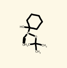 CC(C)(C)ON(C=O)C1(O)CCCCC1